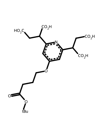 CC(C)(C)OC(=O)CCCOc1cc(C(CC(=O)O)C(=O)O)nc(C(CC(=O)O)C(=O)O)c1